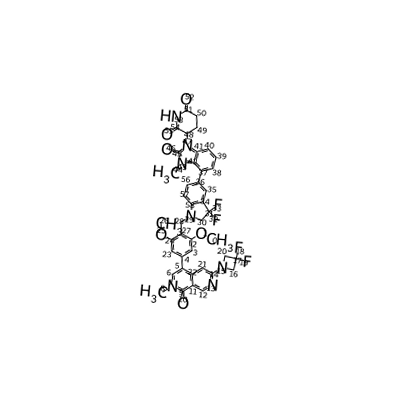 COc1cc(-c2cn(C)c(=O)c3cnc(N4CC(F)(F)C4)cc23)cc(OC)c1CN1CC(F)(F)c2cc(-c3cccc4c3n(C)c(=O)n4C3CCC(=O)NC3=O)ccc21